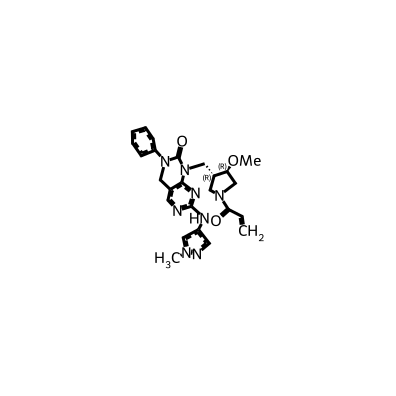 C=CC(=O)N1C[C@H](CN2C(=O)N(c3ccccc3)Cc3cnc(Nc4cnn(C)c4)nc32)[C@@H](OC)C1